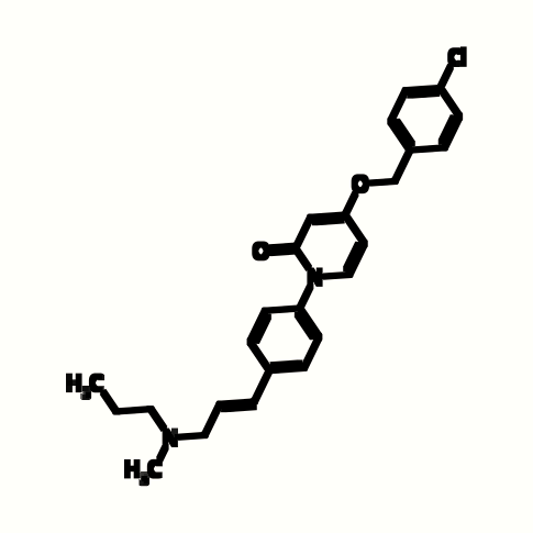 CCCN(C)CC=Cc1ccc(-n2ccc(OCc3ccc(Cl)cc3)cc2=O)cc1